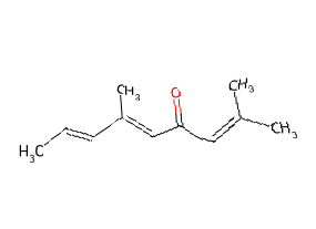 CC=C/C(C)=C/C(=O)C=C(C)C